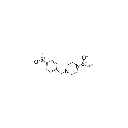 C=C[S+]([O-])N1CCN(Cc2ccc([S+](C)[O-])cc2)CC1